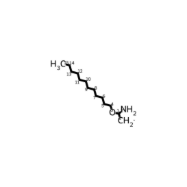 [CH2]C(N)OCCCCCCCCCCCC